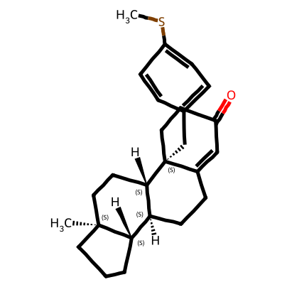 CSc1ccc(C[C@]23CCC(=O)C=C2CC[C@H]2[C@@H]4CCC[C@@]4(C)CC[C@@H]23)cc1